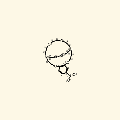 O=[N+]([O-])c1ccc2c(c1)OCCN1CCOCCOCCN(CCOCCOCC1)CCO2